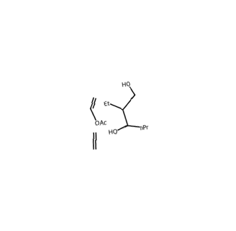 C=C.C=COC(C)=O.CCCC(O)C(CC)CO